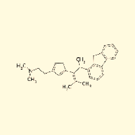 CC(C)=C(C1=CC(CCN(C)C)=CC1)C(C)c1cccc2c1Cc1ccccc1-2